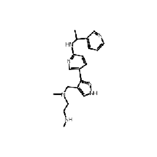 CNCCN(C)Cc1c[nH]nc1-c1ccc(NC(C)c2cccnc2)nc1